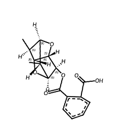 C[C@@H]1[C@@H]2O[C@@H]3[C@@H](OC(=O)c4ccccc4C(=O)O)[C@H]1O[C@@H]3[C@H]2C